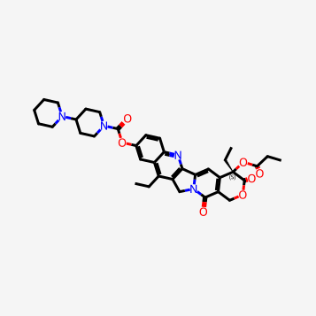 CCC(=O)O[C@]1(CC)C(=O)OCc2c1cc1n(c2=O)Cc2c-1nc1ccc(OC(=O)N3CCC(N4CCCCC4)CC3)cc1c2CC